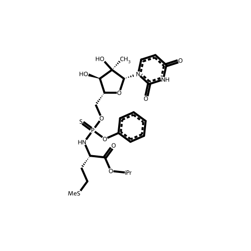 CSCC[C@H](NP(=S)(OC[C@H]1O[C@@H](n2ccc(=O)[nH]c2=O)[C@](C)(O)[C@@H]1O)Oc1ccccc1)C(=O)OC(C)C